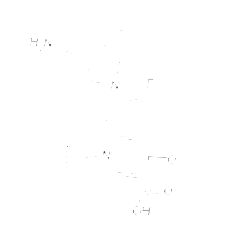 CC(C)(N)C1CN(c2cc3c(cc2F)c(=O)c(C(=O)O)cn3C2CC2)CC12CC2